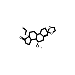 C[C@@H]1CC2=CC3(CCC2C2CC[C@]4(CCI)C(=O)CCC4C21)OCCO3